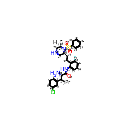 CC(C)C(c1cccc(Cl)c1)[C@H](N)C(=O)Nc1cccc(F)c1CC[C@H]1CNC[C@@H](C)N1S(=O)(=O)c1ccccc1